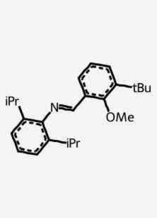 COc1c(/C=N/c2c(C(C)C)cccc2C(C)C)cccc1C(C)(C)C